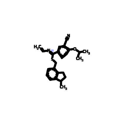 C=C/N=C(\SCc1cccc2c1CCC2C)c1ccc(OC(C)C)c(C#N)c1